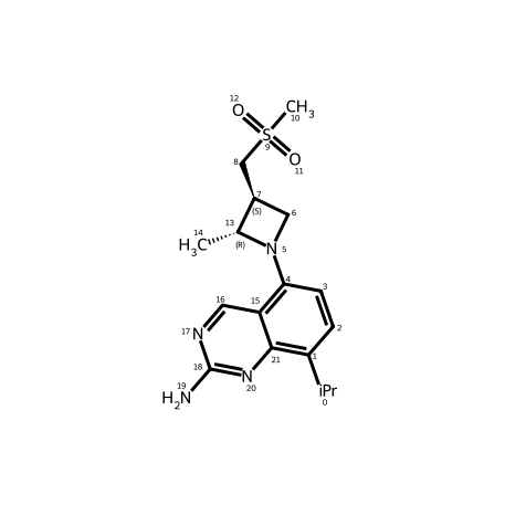 CC(C)c1ccc(N2C[C@H](CS(C)(=O)=O)[C@H]2C)c2cnc(N)nc12